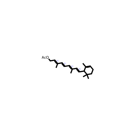 CC(=O)OC/C=C(C)/C=C/C=C(C)/C=C/C1C(C)=CCCC1(C)C